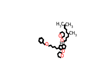 CC(C)=CCC[C@@H](C)CCC=C(OC1CCCCO1)[C@H]1CC[C@@]2(OC3CCCCO3)C=C(CCCCCOCc3ccccc3)C[C@@H]12